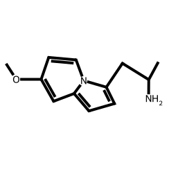 COc1ccn2c(CC(C)N)ccc2c1